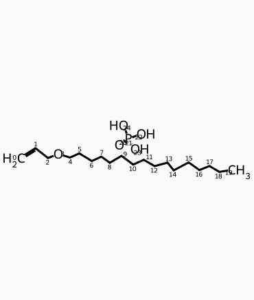 C=CCOCCCCCCCCCCCCCCCC.O=P(O)(O)O